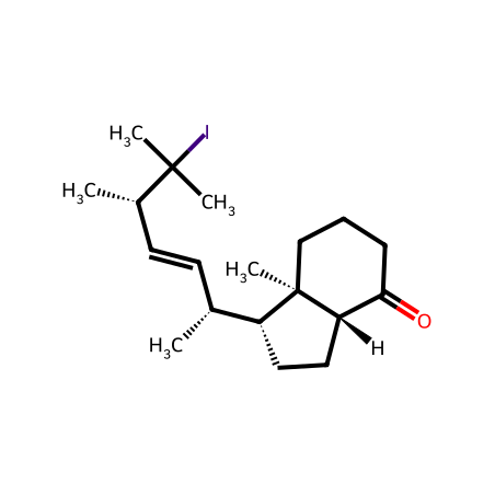 C[C@H](/C=C/[C@H](C)C(C)(C)I)[C@H]1CC[C@H]2C(=O)CCC[C@]12C